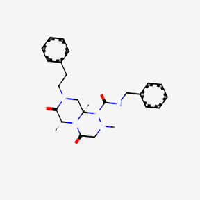 CCN1CC(=O)N2[C@@H](C(C)C)C(=O)N(CCc3ccccc3)C[C@@H]2N1C(=O)NCc1ccccc1